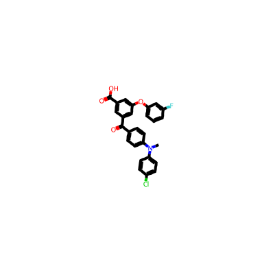 CN(c1ccc(Cl)cc1)c1ccc(C(=O)c2cc(Oc3cccc(F)c3)cc(C(=O)O)c2)cc1